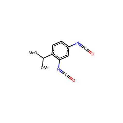 COC(OC)c1ccc(N=C=O)cc1N=C=O